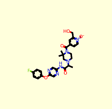 CC(C(=O)Nc1cnc(Oc2ccc(F)cc2)cn1)N1CCN(C(=O)c2cc[n+]([O-])c(CO)c2)C(C)(C)C1